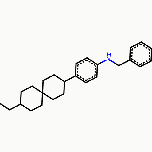 CCC1CCC2(CC1)CCC(c1ccc(NCc3ccccc3)cc1)CC2